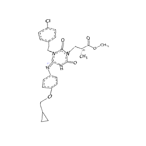 COC(=O)[C@H](C)Cn1c(=O)[nH]/c(=N\c2ccc(OCC3CC3)cc2)n(Cc2ccc(Cl)cc2)c1=O